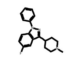 CN1CCC(c2nn(-c3ccccc3)c3ccc(F)cc23)CC1